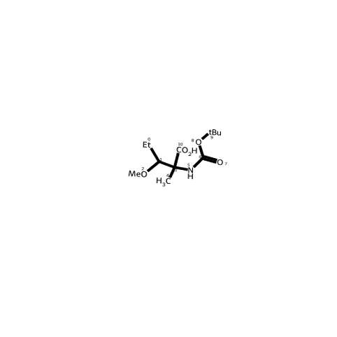 CCC(OC)C(C)(NC(=O)OC(C)(C)C)C(=O)O